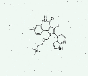 Cc1ccc(-c2c(C(=O)O)c(I)c(-c3ccnc4[nH]ccc34)n2COCC[Si](C)(C)C)c(F)c1